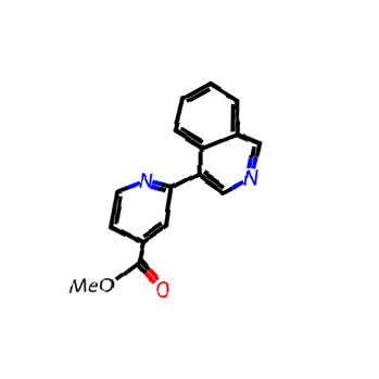 COC(=O)c1ccnc(-c2cncc3ccccc23)c1